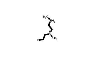 C[SiH2]CC[SiH](C)CCF